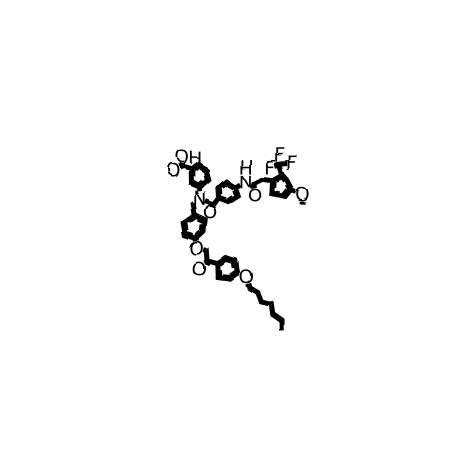 CCCCCCCOc1ccc(C(=O)COc2ccc(CN(C(=O)c3ccc(NC(=O)Cc4ccc(OC)cc4C(F)(F)F)cc3)c3cccc(C(=O)O)c3)cc2)cc1